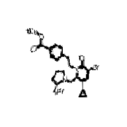 CCC[C@H]1CCCN1Cc1c(C2CC2)cc(Br)c(=O)n1CCc1ccc(C(=O)OC(C)(C)C)cc1